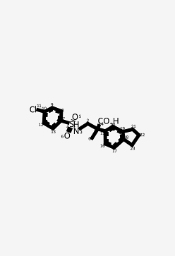 CC(CNS(=O)(=O)c1ccc(Cl)cc1)(C(=O)O)c1ccc2c(c1)CCC2